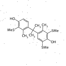 CSc1cc(C(C)(C)c2ccc(O)c(SC)c2C)c(C)c(SC)c1O